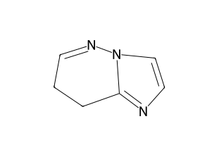 C1=Nn2ccnc2CC1